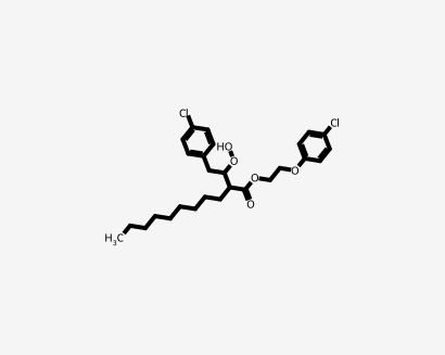 CCCCCCCCCC(C(=O)OCCOc1ccc(Cl)cc1)C(Cc1ccc(Cl)cc1)OO